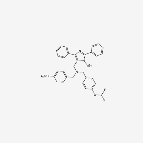 CCCCn1c(-c2ccccc2)nc(-c2ccccc2)c1CN(Cc1ccc(NC(C)=O)cc1)Cc1ccc(OC(F)F)cc1